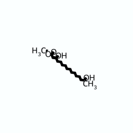 CCOC(=O)C=C(O)CCCCCCCCCCCC(C)O